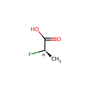 C[C@@H](F)C(=O)O